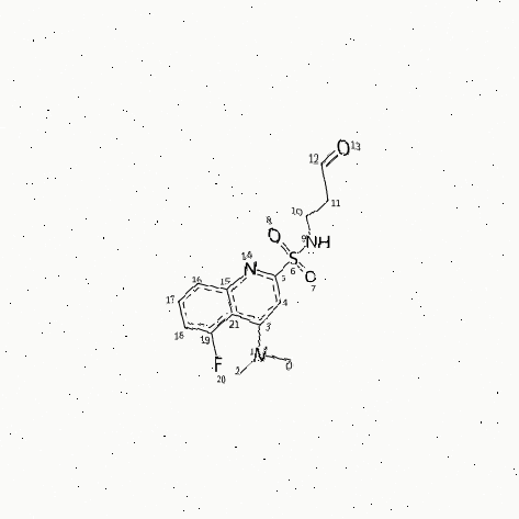 CN(C)c1cc(S(=O)(=O)NCCC=O)nc2cccc(F)c12